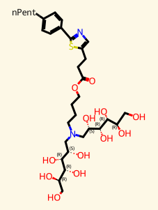 CCCCCc1ccc(-c2ncc(CCC(=O)OCCCCN(C[C@H](O)[C@@H](O)[C@H](O)[C@H](O)CO)C[C@H](O)[C@@H](O)[C@H](O)[C@H](O)CO)s2)cc1